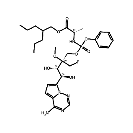 CCCC(CCC)COC(=O)[C@H](C)NP(=O)(OC[C@@](CF)(OC)[C@@H](O)[C@@H](O)c1ccc2c(N)ncnn12)Oc1ccccc1